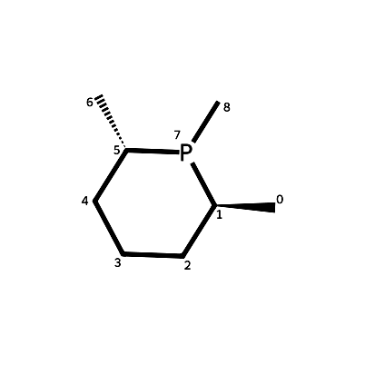 C[C@H]1CCC[C@H](C)P1C